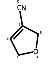 N#CC1=CCOC1